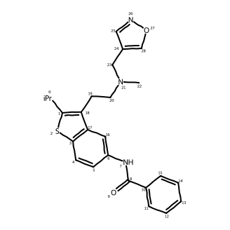 CC(C)c1sc2ccc(NC(=O)c3ccccc3)cc2c1CCN(C)Cc1cnoc1